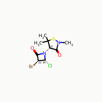 CN1SC(C)(C)[C@@H](N2C(=O)[C@H](Br)[C@H]2Cl)C1=O